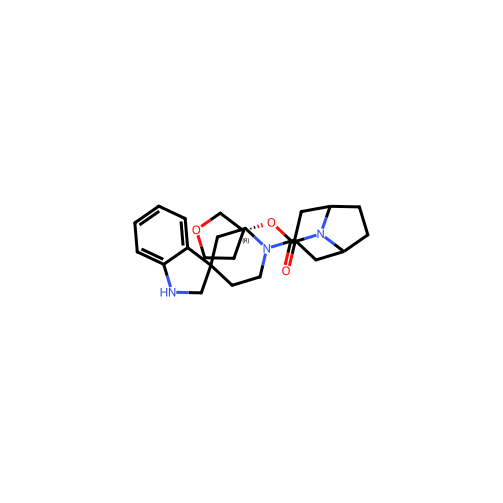 O=C(O[C@@H]1CCOC1)N1C2CCC1CC(N1CCC3(CC1)CNc1ccccc13)C2